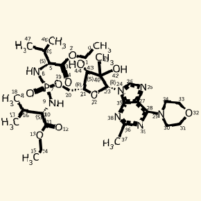 CCOC(=O)[C@@H](NP(=O)(N[C@H](C(=O)OCC)C(C)C)OC[C@H]1O[C@@H](n2cnc3c(N4CCOCC4)nc(C)nc32)C(C)(O)[C@H]1O)C(C)C